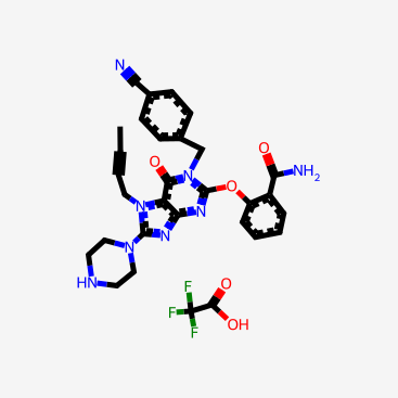 CC#CCn1c(N2CCNCC2)nc2nc(Oc3ccccc3C(N)=O)n(Cc3ccc(C#N)cc3)c(=O)c21.O=C(O)C(F)(F)F